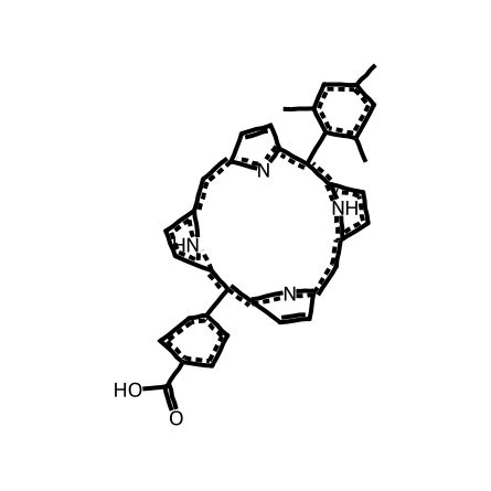 Cc1cc(C)c(-c2c3nc(cc4ccc([nH]4)c(-c4ccc(C(=O)O)cc4)c4nc(cc5ccc2[nH]5)C=C4)C=C3)c(C)c1